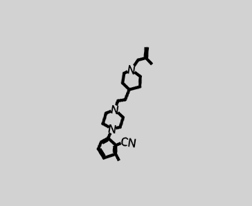 C=C(C)CN1CCC(CCN2CCN(c3cccc(C)c3C#N)CC2)CC1